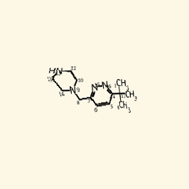 CC(C)(C)c1ccc(CN2CCNCC2)nn1